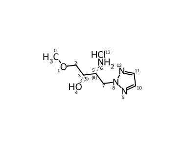 COC[C@@H](O)[C@H](N)Cn1nccn1.Cl